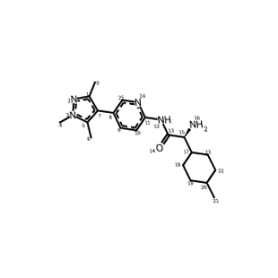 Cc1nn(C)c(C)c1-c1ccc(NC(=O)[C@@H](N)C2CCC(C)CC2)nc1